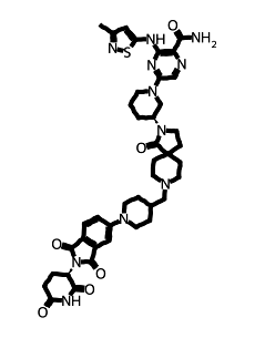 Cc1cc(Nc2nc(N3CCC[C@@H](N4CCC5(CCN(CC6CCN(c7ccc8c(c7)C(=O)N([C@H]7CCC(=O)NC7=O)C8=O)CC6)CC5)C4=O)C3)cnc2C(N)=O)sn1